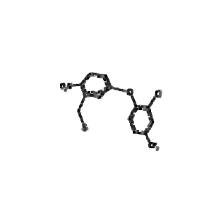 O=[N+]([O-])c1ccc(Oc2ccc(C(F)(F)F)cc2Cl)cc1C[S]